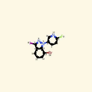 Fc1ccc(-n2nc(I)c3cccc(Br)c32)cn1